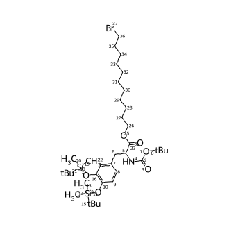 CC(C)(C)OC(=O)NC(Cc1ccc(O[Si](C)(C)C(C)(C)C)c(O[Si](C)(C)C(C)(C)C)c1)C(=O)OCCCCCCCCCCCBr